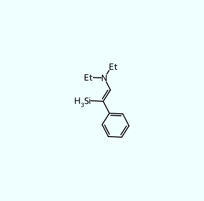 CCN(C=C([SiH3])c1ccccc1)CC